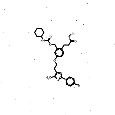 Cc1oc(-c2ccc(Br)cc2)nc1CCOc1ccc(CCC(=O)OC(C)(C)C)c(COC(=O)NC2CCCCC2)c1